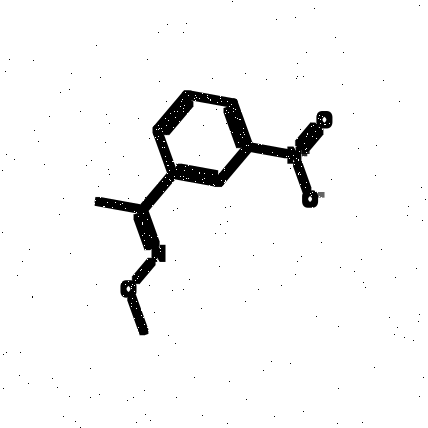 CON=C(C)c1cccc([N+](=O)[O-])c1